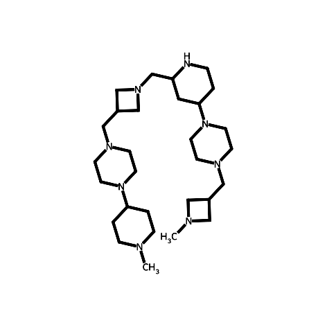 CN1CCC(N2CCN(CC3CN(CC4CC(N5CCN(CC6CN(C)C6)CC5)CCN4)C3)CC2)CC1